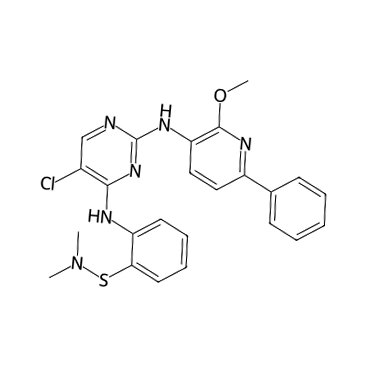 COc1nc(-c2ccccc2)ccc1Nc1ncc(Cl)c(Nc2ccccc2SN(C)C)n1